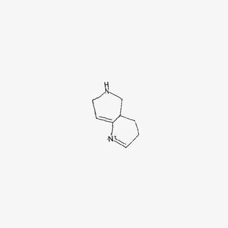 C1=[N+]C2=CCNCC2CC1